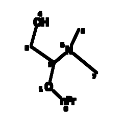 CCCOC(CO)N(C)C